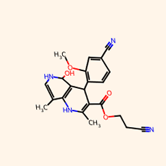 COc1cc(C#N)ccc1C1C(C(=O)OCCC#N)=C(C)NC2=C1C(O)NC=C2C